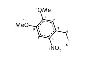 COc1cc(CI)c([N+](=O)[O-])cc1OC